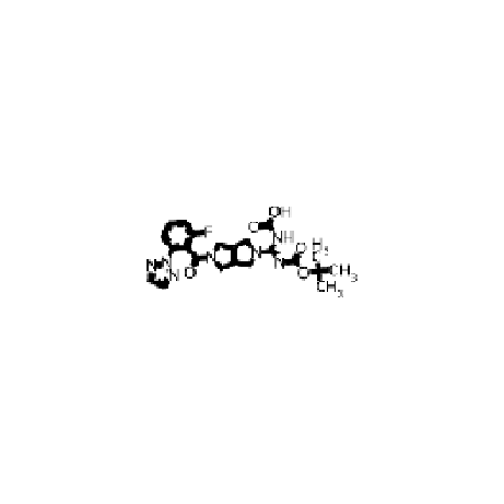 CC(C)(C)OC(=O)/N=C(\NC(=O)O)N1CC2CN(C(=O)c3c(F)cccc3-n3nccn3)CC2C1